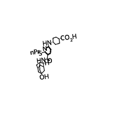 CCCSc1nc(N[C@H]2CC[C@@H](C(=O)O)CC2)ccc1C(=O)N[C@H]1C2CC3CC1C[C@](O)(C3)C2